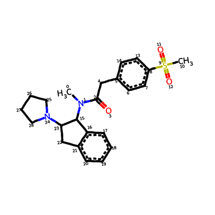 CN(C(=O)Cc1ccc(S(C)(=O)=O)cc1)C1c2ccccc2CC1N1CCCC1